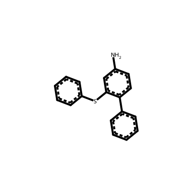 Nc1ccc(-c2ccccc2)c(Sc2ccccc2)c1